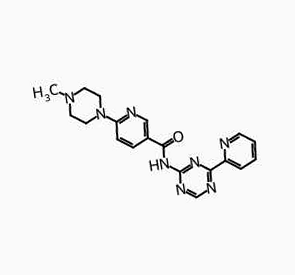 CN1CCN(c2ccc(C(=O)Nc3ncnc(-c4ccccn4)n3)cn2)CC1